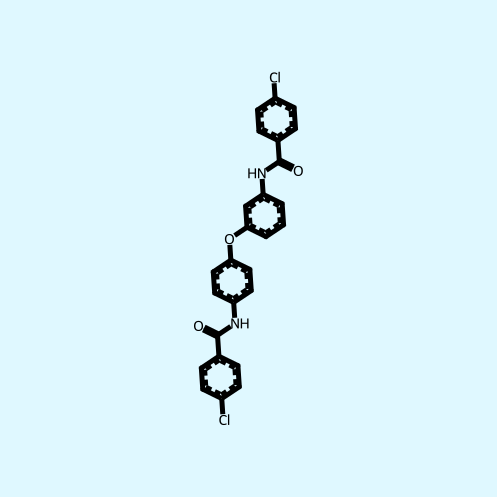 O=C(Nc1ccc(Oc2cccc(NC(=O)c3ccc(Cl)cc3)c2)cc1)c1ccc(Cl)cc1